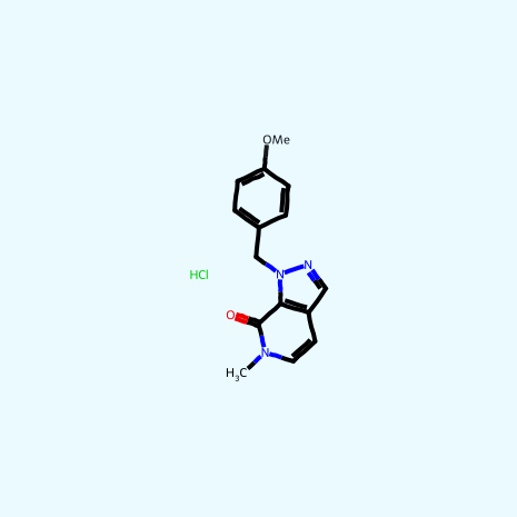 COc1ccc(Cn2ncc3ccn(C)c(=O)c32)cc1.Cl